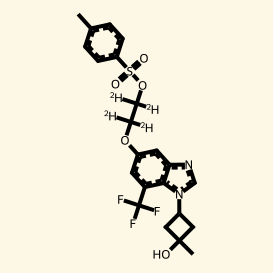 [2H]C([2H])(Oc1cc(C(F)(F)F)c2c(c1)ncn2C1CC(C)(O)C1)C([2H])([2H])OS(=O)(=O)c1ccc(C)cc1